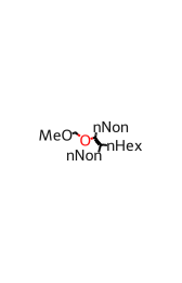 CCCCCCCCCC(CCCCCC)=C(CCCCCCCCC)OCOC